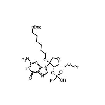 CCCCCCCCCCCCCCCCO[C@@]1(n2cnc3c(=O)[nH]c(N)nc32)CO[C@H](COC(C)C)[C@@H]1OP(=O)(O)C(C)C